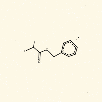 O=C(OCc1ccccc1)[C](F)F